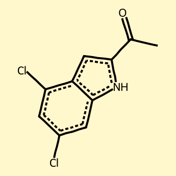 CC(=O)c1cc2c(Cl)cc(Cl)cc2[nH]1